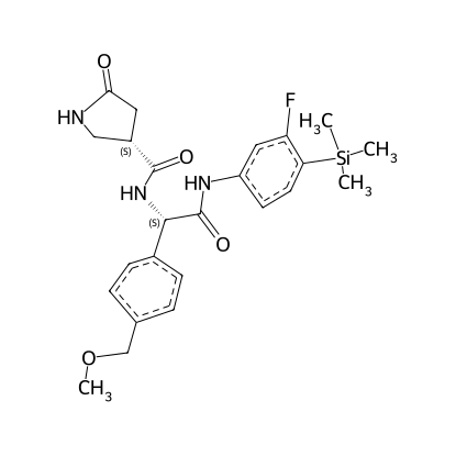 COCc1ccc([C@H](NC(=O)[C@@H]2CNC(=O)C2)C(=O)Nc2ccc([Si](C)(C)C)c(F)c2)cc1